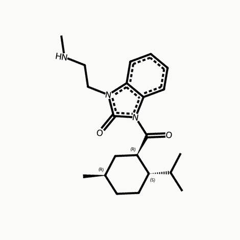 CNCCn1c(=O)n(C(=O)[C@@H]2C[C@H](C)CC[C@H]2C(C)C)c2ccccc21